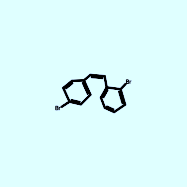 Brc1ccc(/C=C\c2ccccc2Br)cc1